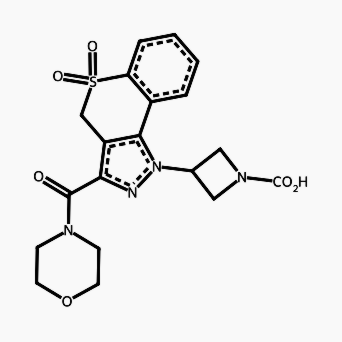 O=C(O)N1CC(n2nc(C(=O)N3CCOCC3)c3c2-c2ccccc2S(=O)(=O)C3)C1